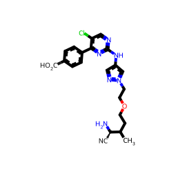 CC(CCOCCn1cc(Nc2ncc(Cl)c(-c3ccc(C(=O)O)cc3)n2)cn1)[C@H](N)C#N